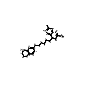 Cc1ncc(C(CCCCCCc2ccc3c(n2)NCCC3)CC(=O)O)cn1